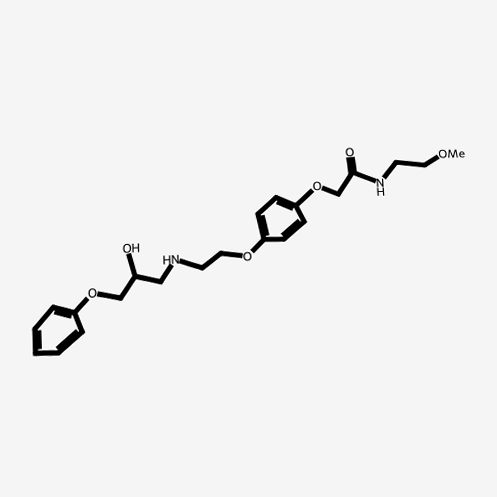 COCCNC(=O)COc1ccc(OCCNCC(O)COc2ccccc2)cc1